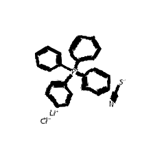 N#C[S-].[Cl-].[Li+].c1ccc([P+](c2ccccc2)(c2ccccc2)c2ccccc2)cc1